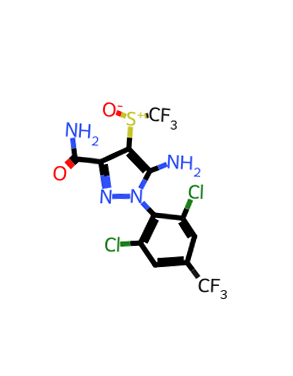 NC(=O)c1nn(-c2c(Cl)cc(C(F)(F)F)cc2Cl)c(N)c1[S+]([O-])C(F)(F)F